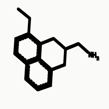 CCc1ccc2cccc3c2c1CC(CN)C3